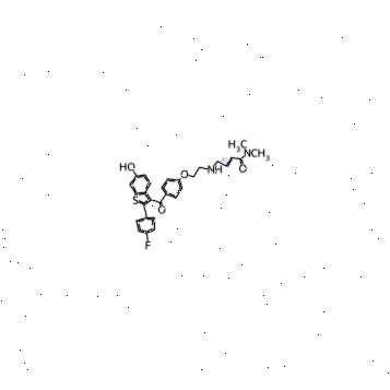 CN(C)C(=O)/C=C/CNCCOc1ccc(C(=O)c2c(-c3ccc(F)cc3)sc3cc(O)ccc23)cc1